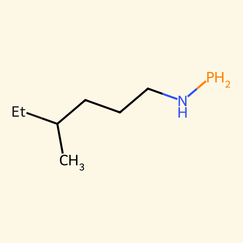 CCC(C)CCCNP